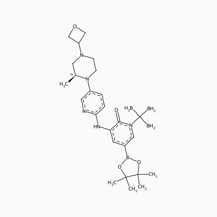 BC(B)(B)n1cc(B2OC(C)(C)C(C)(C)O2)cc(Nc2ccc(N3CCN(C4COC4)C[C@@H]3C)cn2)c1=O